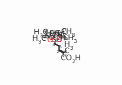 CC(=CCC[Si](C)(O[Si](C)(C)C)O[Si](C)(C)C)C(=O)O